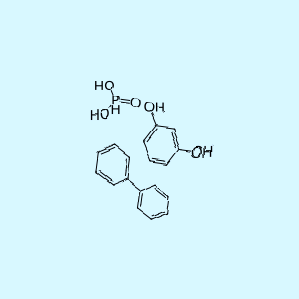 O=[PH](O)O.Oc1cccc(O)c1.c1ccc(-c2ccccc2)cc1